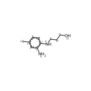 Nc1cc(I)ccc1NCCCO